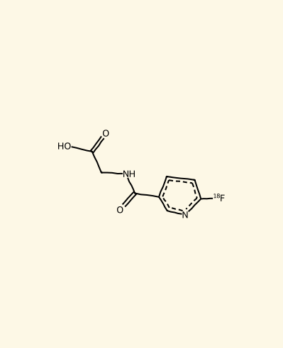 O=C(O)CNC(=O)c1ccc([18F])nc1